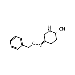 N#C[C@@H]1CCC(=NOCc2ccccc2)CN1